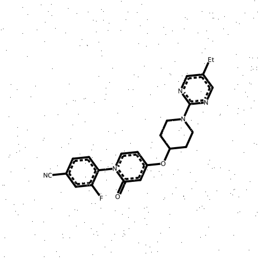 CCc1cnc(N2CCC(Oc3ccn(-c4ccc(C#N)cc4F)c(=O)c3)CC2)nc1